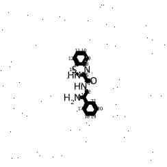 NC(CNC(=O)C1=Nc2ccccc2SN1)c1ccccc1